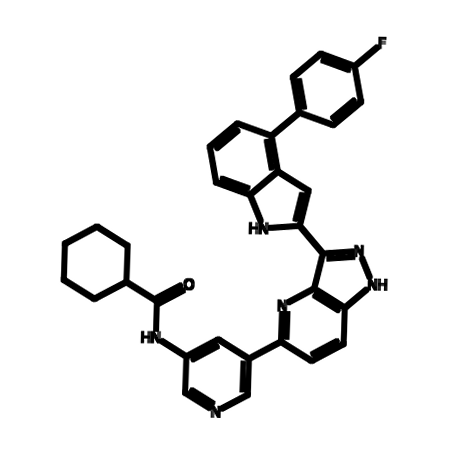 O=C(Nc1cncc(-c2ccc3[nH]nc(-c4cc5c(-c6ccc(F)cc6)cccc5[nH]4)c3n2)c1)C1CCCCC1